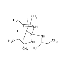 CCC(C)N[Si](NC(C)CC)(NC(C)CC)C(F)(F)C(F)(F)F